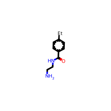 CCc1ccc(C(=O)NCCN)cc1